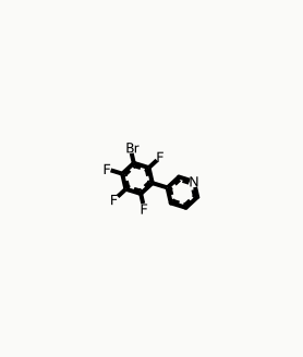 Fc1c(F)c(Br)c(F)c(-c2cccnc2)c1F